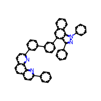 c1ccc(-c2ccc3ccc4ccc(-c5cccc(-c6cccc(-c7cc8ccccc8c8c7c(-c7ccccc7)nn8-c7ccccc7)c6)c5)nc4c3n2)cc1